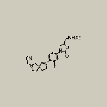 CC(=O)NCC1CN(c2ccc(N3CCC4(CCN(CC#N)C4)C3)c(F)c2)C(=O)O1